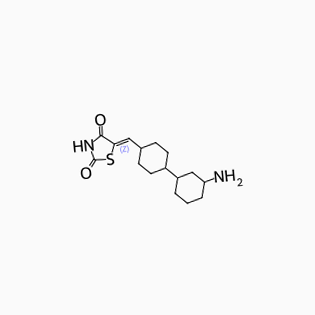 NC1CCCC(C2CCC(/C=C3\SC(=O)NC3=O)CC2)C1